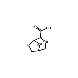 O=C(O)C1NCC2CCC1N2